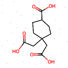 O=C(O)CC1(CC(=O)O)CCC(C(=O)O)CC1